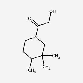 CC1CCN(C(=O)CO)CC1(C)C